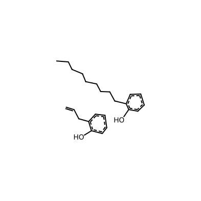 C=CCc1ccccc1O.CCCCCCCCCc1ccccc1O